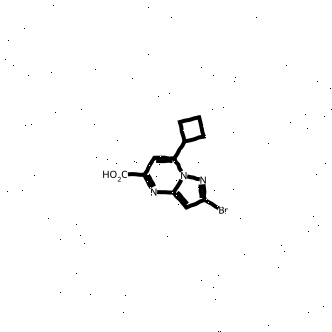 O=C(O)c1cc(C2CCC2)n2nc(Br)cc2n1